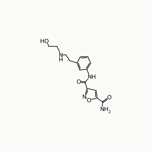 NC(=O)c1cc(C(=O)Nc2cccc([CH]CNCCO)c2)no1